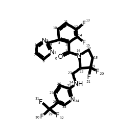 O=C(c1c(-c2ncccn2)ccc(F)c1F)N1CCC(F)(F)C1CNc1ccc(C(F)(F)F)cn1